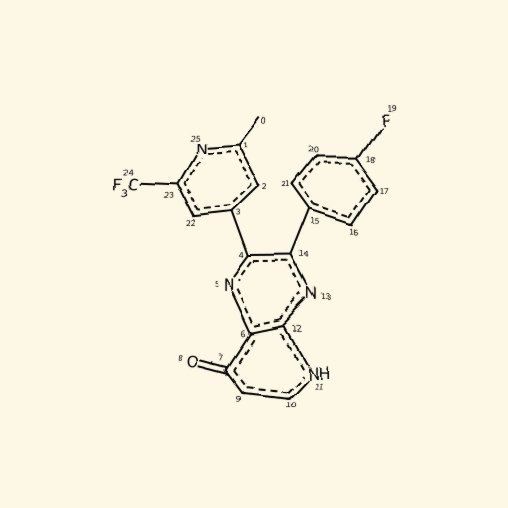 Cc1cc(-c2nc3c(=O)cc[nH]c3nc2-c2ccc(F)cc2)cc(C(F)(F)F)n1